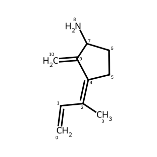 C=C/C(C)=C1/CCC(N)C1=C